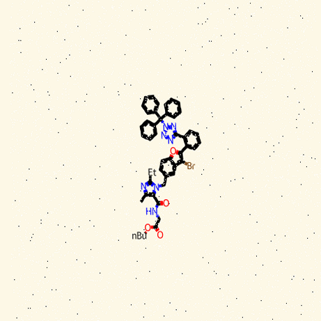 CCCCOC(=O)CNC(=O)c1c(C)nc(CC)n1Cc1ccc2oc(-c3ccccc3-c3nnn(C(c4ccccc4)(c4ccccc4)c4ccccc4)n3)c(Br)c2c1